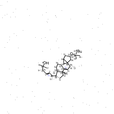 C[C@H](/C=C/[C@H](C)C(C)(C)O)[C@H]1CC[C@H]2/C(=C/[C@@H](C)[C@]34CC3C[C@H](O[Si](C)(C)C(C)(C)C)C4)CCC[C@]12C